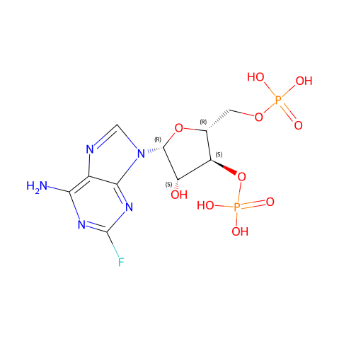 Nc1nc(F)nc2c1ncn2[C@@H]1O[C@H](COP(=O)(O)O)[C@@H](OP(=O)(O)O)[C@@H]1O